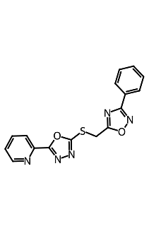 c1ccc(-c2noc(CSc3nnc(-c4ccccn4)o3)n2)cc1